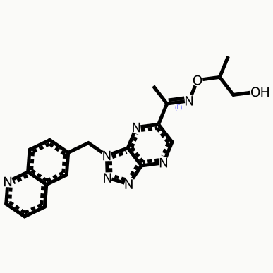 C/C(=N\OC(C)CO)c1cnc2nnn(Cc3ccc4ncccc4c3)c2n1